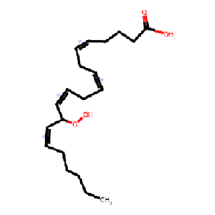 CCCCC/C=C\C(/C=C\C/C=C\C/C=C\CCCC(=O)O)OO